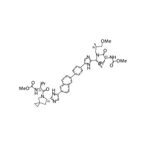 C=C=C(c1ncc(-c2ccc(-c3ccc4cc(-c5cnc([C@@H]6CC7(CC7)CN6C(=O)[C@@H](NC(=O)OC)C(C)C)[nH]5)ccc4c3)cc2)[nH]1)N(C[C@@H](C)COC)C(=O)[C@@H](NC(=O)OC)C(C)C